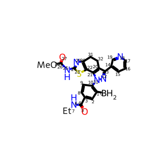 Bc1cc(C(=O)NCC)ccc1-n1nc(-c2cccnc2)c2c1-c1sc(NC(=O)OC)nc1CC2